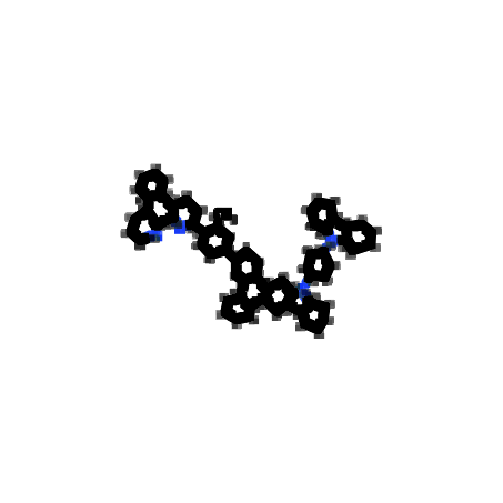 Cc1cc(-c2ccc3c(c2)c2ccccc2c2cc4c5ccccc5n(-c5ccc(-n6c7ccccc7c7ccccc76)cc5)c4cc32)ccc1-c1ccc2c3ccccc3c3cccnc3c2n1